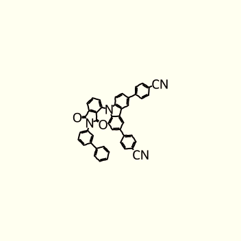 N#Cc1ccc(-c2ccc3c(c2)c2cc(-c4ccc(C#N)cc4)ccc2n3-c2cccc3c2C(=O)N(c2cccc(-c4ccccc4)c2)C3=O)cc1